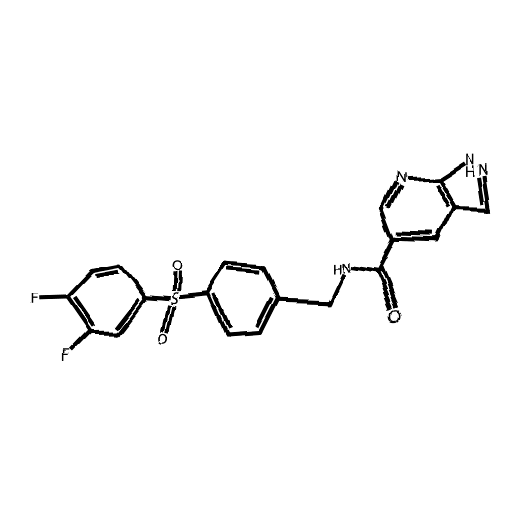 O=C(NCc1ccc(S(=O)(=O)c2ccc(F)c(F)c2)cc1)c1cnc2[nH]ncc2c1